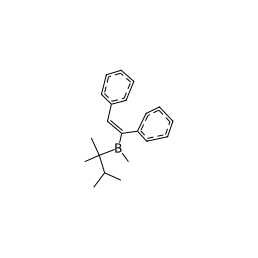 CB(/C(=C/c1ccccc1)c1ccccc1)C(C)(C)C(C)C